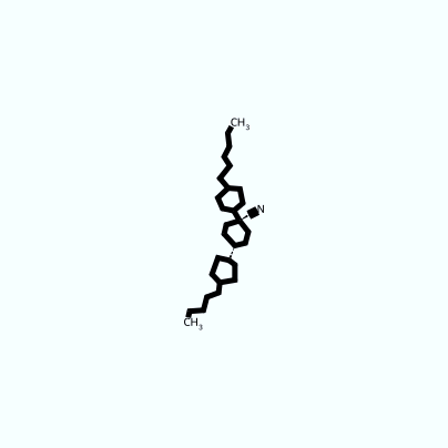 CCCCCCC1CCC([C@]2(C#N)CC[C@@H](C3CCC(CCCCC)CC3)CC2)CC1